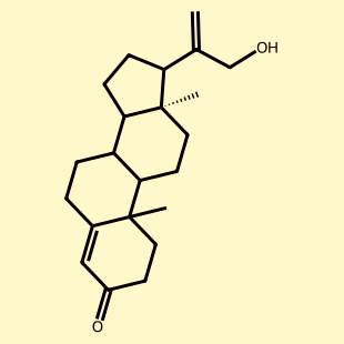 C=C(CO)C1CCC2C3CCC4=CC(=O)CCC4(C)C3CC[C@]12C